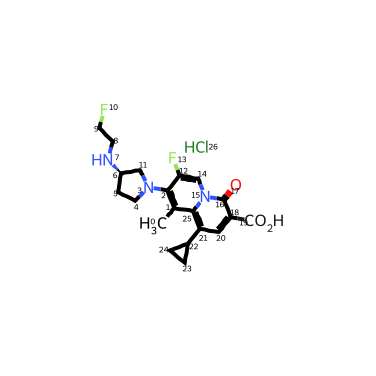 Cc1c(N2CC[C@@H](NCCF)C2)c(F)cn2c(=O)c(C(=O)O)cc(C3CC3)c12.Cl